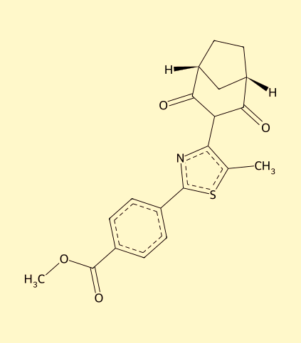 COC(=O)c1ccc(-c2nc(C3C(=O)[C@@H]4CC[C@@H](C4)C3=O)c(C)s2)cc1